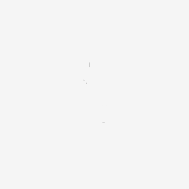 [2H]c1ccc(OC(F)F)cn1